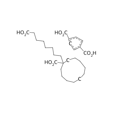 O=C(O)CCCCCCCC1(C(=O)O)CCCCCCCCCC1.O=C(O)c1ccc(C(=O)O)cc1